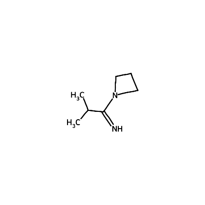 CC(C)C(=N)N1CCC1